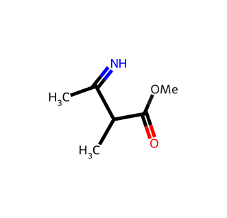 COC(=O)C(C)C(C)=N